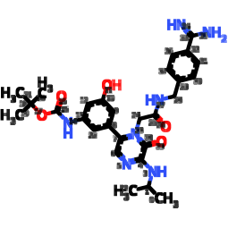 CC(C)Nc1ncc(-c2cc(O)cc(NC(=O)OC(C)(C)C)c2)n(CC(=O)NCc2ccc(C(=N)N)cc2)c1=O